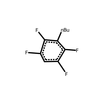 CCCCc1c(F)c(F)cc(F)c1F